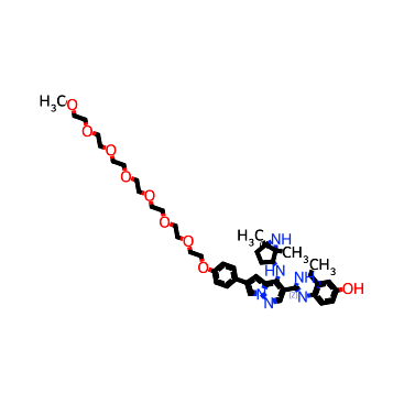 CCc1cc(O)ccc1/N=C(\N)c1cnn2cc(-c3ccc(OCCOCCOCCOCCOCCOCCOCCOC)cc3)cc2c1NC1CC[C@]2(C)NC12C